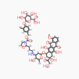 COc1cccc2c1C(=O)c1c(O)c3c(c(O)c1C2=O)C[C@@](O)(C(=O)CO)CC3OC1CC(NCCCC2OCCN2C(=O)OCc2ccc(O[C@@H]3O[C@H](C(=O)O)[C@@H](O)[C@H](O)[C@H]3O)c(C)c2)C(O)C(C)O1